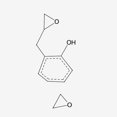 C1CO1.Oc1ccccc1CC1CO1